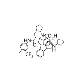 Cc1ccc(NC(=O)C2CC3CCCC3N(C(=O)O)C2(CC2c3ccccc3-c3ccccc32)c2ccc(NC3CCCC3)cc2)cc1C(F)(F)F